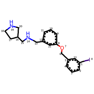 Ic1cccc(COc2cccc(CNCC3CCNC3)c2)c1